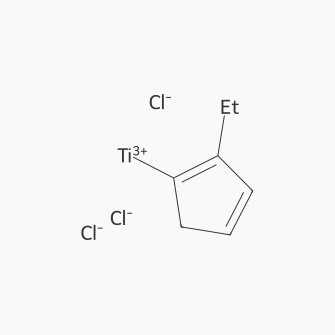 CCC1=[C]([Ti+3])CC=C1.[Cl-].[Cl-].[Cl-]